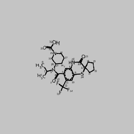 CC(C)N(C(=O)c1cc2c(cc1C(F)(F)F)SC1(CCCC1)C(=O)N2)[C@@H]1CCCN(C(=O)O)C1